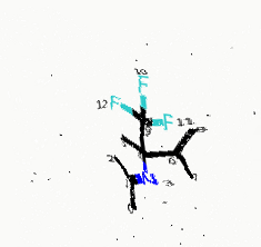 CC(C)=NC(C)(C(C)C)C(F)(F)F